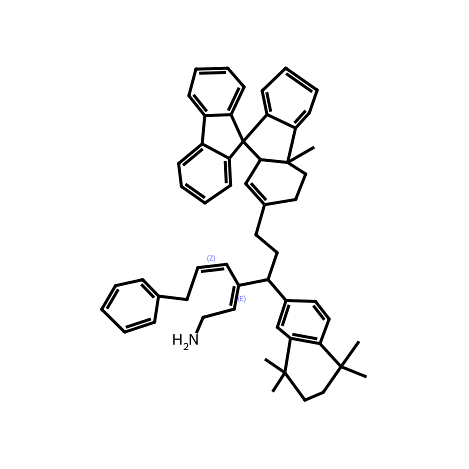 CC1(C)CCC(C)(C)c2cc(C(CCC3=CC4C(C)(CC3)c3ccccc3C43c4ccccc4-c4ccccc43)C(/C=C\Cc3ccccc3)=C/CN)ccc21